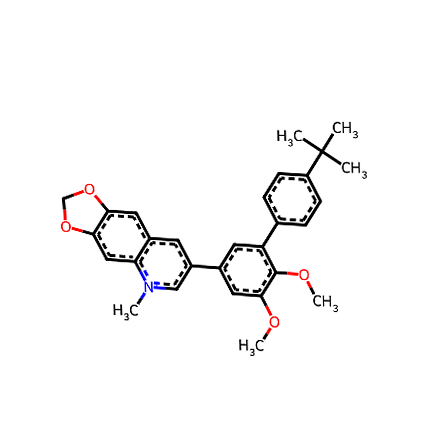 COc1cc(-c2cc3cc4c(cc3[n+](C)c2)OCO4)cc(-c2ccc(C(C)(C)C)cc2)c1OC